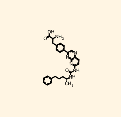 C[C@H](CCCc1ccccc1)NC(=O)Nc1ccc2ncc(-c3ccc(CC(N)C(=O)O)cc3)nc2n1